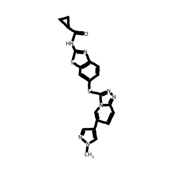 Cn1cc(-c2ccc3nnc(Sc4ccc5nc(NC(=O)C6CC6)sc5c4)n3c2)cn1